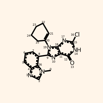 Cn1cnc2cccc(-c3nc4c(=O)[nH]c(Cl)nc4n3C3=CCCCC3)c21